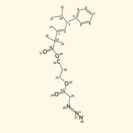 C/C(=C\C(c1ccccc1)C(C)C)C(C)(C)C(=O)OCCCOC(=O)CN=[N+]=[N-]